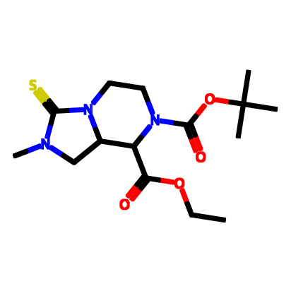 CCOC(=O)C1C2CN(C)C(=S)N2CCN1C(=O)OC(C)(C)C